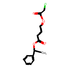 CC(OC(=O)CCCOC(=O)CCl)c1ccccc1